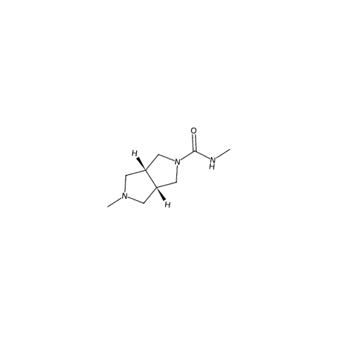 CNC(=O)N1C[C@H]2CN(C)C[C@H]2C1